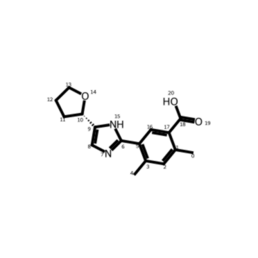 Cc1cc(C)c(-c2ncc([C@@H]3CCCO3)[nH]2)cc1C(=O)O